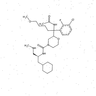 CNC[C@H](CC1CCCCC1)NC(=O)N1CCOC(C(CCCCOC)(NC(C)=O)c2cccc(Cl)c2F)C1